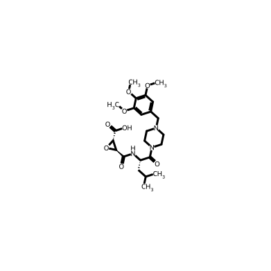 COc1cc(CN2CCN(C(=O)[C@H](CC(C)C)NC(=O)[C@H]3O[C@@H]3C(=O)O)CC2)cc(OC)c1OC